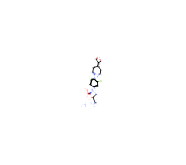 NCC1CN(c2cc(F)c(N3CCC(C4COC4)CC3)c(F)c2)C(=O)O1